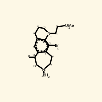 BN1CCc2c(cc3c(c2Br)N(CCOC)CCC3)C(C)C1